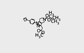 COC(=O)Cc1nn(-c2ccc(C34CC(C3)C4)cc2)c2c1CN(C(=O)OC(C)(C)C)CC2